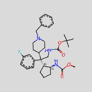 COC(=O)N[C@H]1CCC[C@@H]1C(CNC(=O)OC(C)(C)C)(c1cccc(F)c1)C1CCN(Cc2ccccc2)CC1